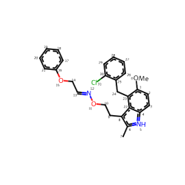 COc1ccc2[nH]c(C)c(CCO/N=C/COc3ccccc3)c2c1Cc1ccccc1Cl